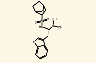 O=S(=O)(N[C@@H](Cc1coc2ccccc12)B(O)O)C1CC2CCC1O2